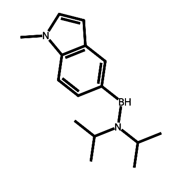 CC(C)N(Bc1ccc2c(ccn2C)c1)C(C)C